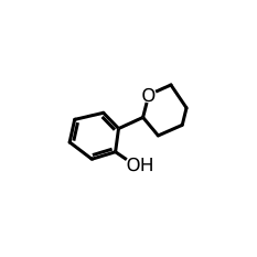 Oc1ccccc1C1CCCCO1